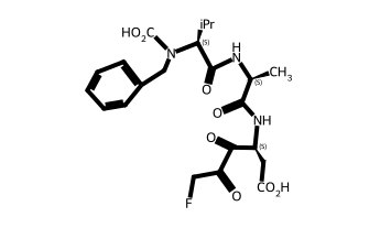 CC(C)[C@@H](C(=O)N[C@@H](C)C(=O)N[C@@H](CC(=O)O)C(=O)C(=O)CF)N(Cc1ccccc1)C(=O)O